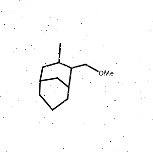 COCC1C(C)CC2CCCC1C2